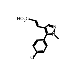 Cn1ncc(C=CC(=O)O)c1-c1ccc(Cl)cc1